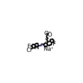 O=C([O-])CCSC1c2cc(/C=C/c3ccc4cc(F)c(Cl)cc4n3)ccc2C=Cc2c(F)cccc21.[Na+]